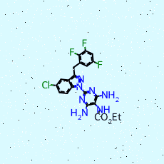 CCOC(=O)Nc1c(N)nc(-n2nc(Cc3cc(F)cc(F)c3F)c3cc(Cl)ccc32)nc1N